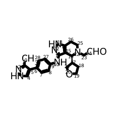 Cc1n[nH]cc1-c1ccc(Nc2n[nH]c3c2[C@H](C2CCOC2)N(CC=O)CC3)cc1